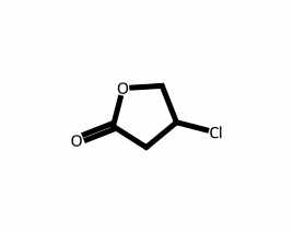 O=C1CC(Cl)CO1